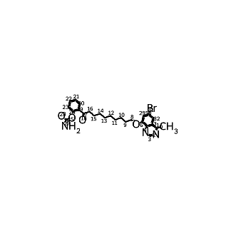 Cc1ncnc2c(OCCCCCCCCCC(=O)c3ccccc3OC(N)=O)cc(Br)cc12